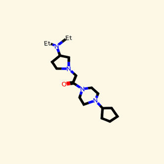 CCN(CC)C1CCN(CC(=O)N2CCN(C3CCCC3)CC2)C1